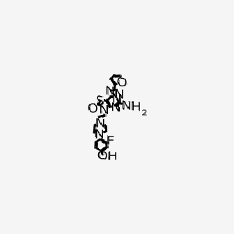 Nc1nc2c(sc(=O)n2CCN2CCN(c3ccc(O)cc3F)CC2)c2nc(-c3ccco3)nn12